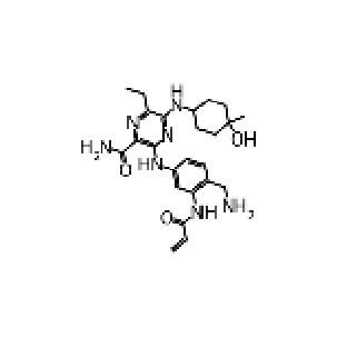 C=CC(=O)Nc1cc(Nc2nc(NC3CCC(C)(O)CC3)c(CC)nc2C(N)=O)ccc1CN